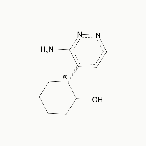 Nc1nnccc1[C@H]1CCCCC1O